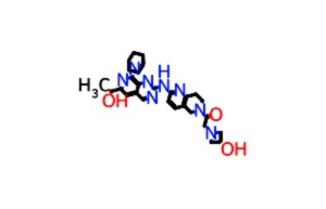 C[C@@H](O)c1cc2cnc(Nc3ccc4c(n3)CCN(C(=O)CN3CC(O)C3)C4)nc2c(N2C3CCC2CC3)n1